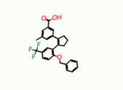 Cc1cc(C(=O)O)cc(C2=C(c3cc(C(F)(F)F)ccc3OCc3ccccc3)CCC2)c1